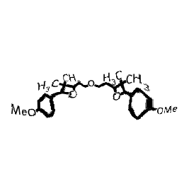 COc1ccc(C2OC(CCOCCC3OC(c4ccc(OC)cc4)C3(C)C)C2(C)C)cc1